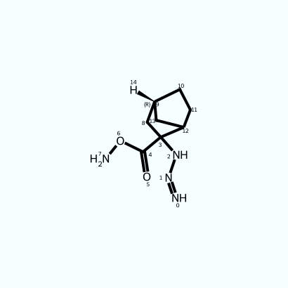 N=NNC1(C(=O)ON)C[C@@H]2CCC1C2